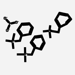 C[P+](C)(C)Cc1ccccc1.C[P+](C)(C)Cc1ccccc1.C[P+](C)(C)Cc1ccccc1.[O-]P([O-])[O-]